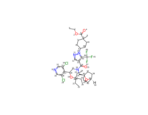 CCOC(=O)C1(C)CCC(n2ncc(C(=O)N(CC(O[Si](CC)(CC)CC)c3c(Cl)cncc3Cl)C[C@]34CC[C@@H](CC3)O4)c2C(F)(F)F)CC1